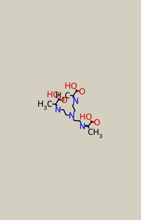 CC(=NCCN(CCN=C(C)C(=O)O)CCN=C(C)C(=O)O)C(=O)O